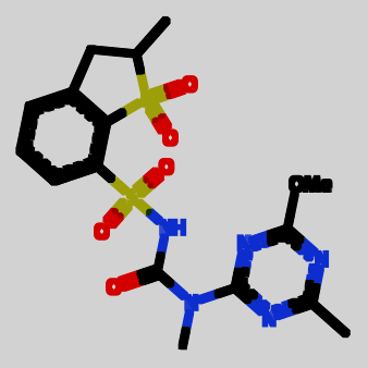 COc1nc(C)nc(N(C)C(=O)NS(=O)(=O)c2cccc3c2S(=O)(=O)C(C)C3)n1